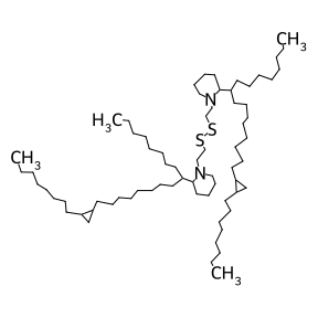 CCCCCCCCC1CC1CCCCCCCCC(CCCCCCCC)C1CCCCN1CCSSCCN1CCCCC1C(CCCCCCCC)CCCCCCCCC1CC1CCCCCCCC